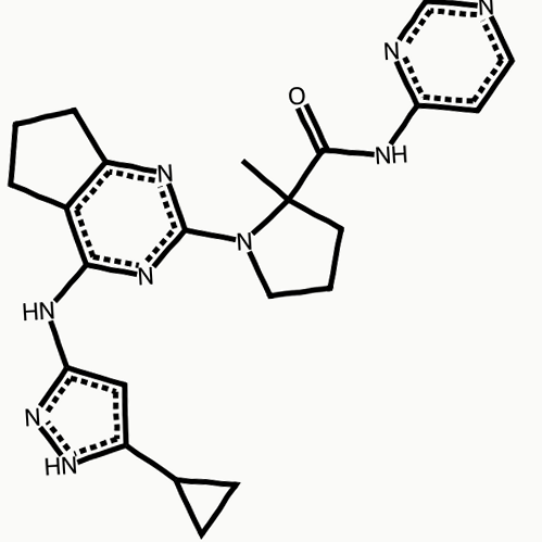 CC1(C(=O)Nc2ccncn2)CCCN1c1nc2c(c(Nc3cc(C4CC4)[nH]n3)n1)CCC2